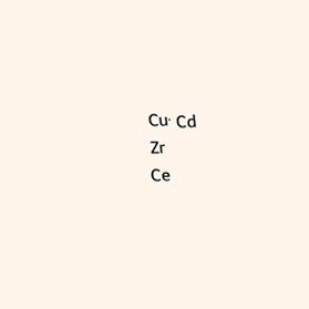 [Cd].[Ce].[Cu].[Zr]